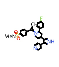 CNS(=O)(=O)c1ccc(C2C(C)C2N2CC=C(c3c[nH]cc3-c3ccncc3)CC2c2ccc(F)cc2)cc1